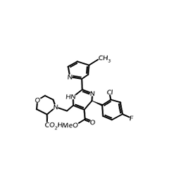 COC(=O)C1=C(CN2CCOCC2C(=O)O)NC(c2cc(C)ccn2)=N[C@H]1c1ccc(F)cc1Cl